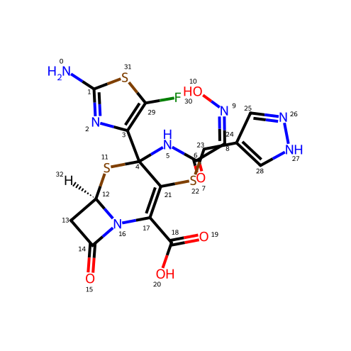 Nc1nc(C2(NC(=O)/C=N\O)S[C@@H]3CC(=O)N3C(C(=O)O)=C2SCc2cn[nH]c2)c(F)s1